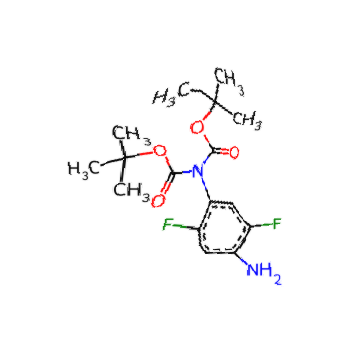 CC(C)(C)OC(=O)N(C(=O)OC(C)(C)C)c1cc(F)c(N)cc1F